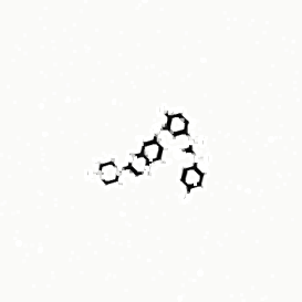 O=C(Nc1ccc(F)cc1)Nc1ccc(F)c(Oc2ccc3ncc(N4CCNCC4)nc3c2)c1